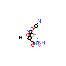 Cc1cc(C=CC(=O)N2CCNOCC2)cc(C)c1Oc1ccc(OCc2ccc(C#N)cc2)cn1